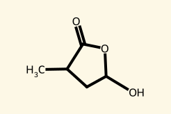 CC1CC(O)OC1=O